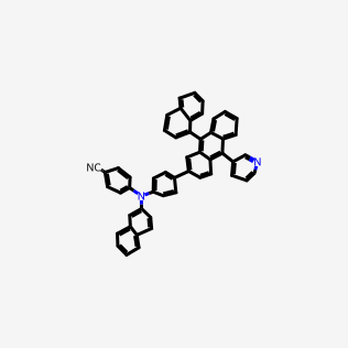 N#Cc1ccc(N(c2ccc(-c3ccc4c(-c5cccnc5)c5ccccc5c(-c5cccc6ccccc56)c4c3)cc2)c2ccc3ccccc3c2)cc1